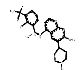 COc1nc2ncnc(N[C@H](C)c3cccc(C(C)(F)F)c3F)c2cc1C1CCN(C(C)C)CC1